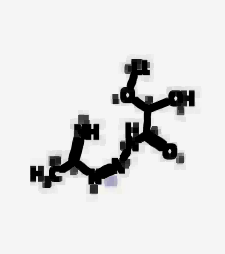 CCOC(O)C(=O)N/N=N\C(C)=N